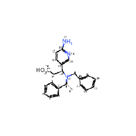 C[C@H](c1ccccc1)N(Cc1ccccc1)[C@@H](CC(=O)O)c1ccc(N)nc1